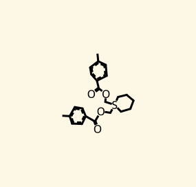 Cc1ccc(C(=O)OCS2(COC(=O)c3ccc(C)cc3)CCCCC2)cc1